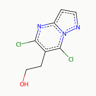 OCCc1c(Cl)nc2ccnn2c1Cl